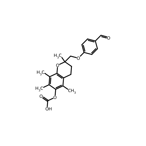 Cc1c(C)c2c(c(C)c1OC(=O)O)CCC(C)(COc1ccc(C=O)cc1)O2